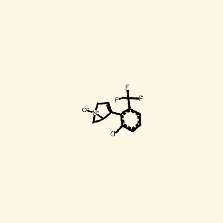 [O-][N+]12CC=C(c3c(Cl)cccc3C(F)(F)F)C1C2